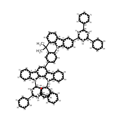 CC1(C)c2cc(-c3cc4c5ccccc5n(-c5nc(-c6ccccc6)nc(-c6ccccc6)n5)c4c4c3c3ccccc3n4-c3ccccc3)ccc2-n2c3ccc(-c4nc(-c5ccccc5)nc(-c5ccccc5)n4)cc3c3cccc1c32